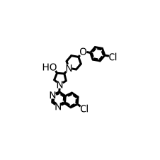 OC1CN(c2ncnc3cc(Cl)ccc23)CC1N1CCC(Oc2ccc(Cl)cc2)CC1